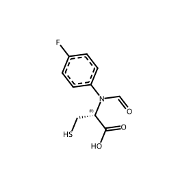 O=CN(c1ccc(F)cc1)[C@@H](CS)C(=O)O